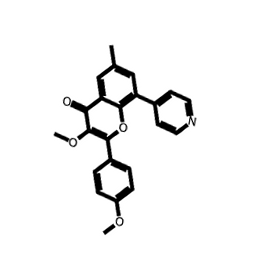 COc1ccc(-c2oc3c(-c4ccncc4)cc(C)cc3c(=O)c2OC)cc1